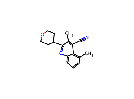 Cc1c(C2CCOCC2)nc2cccc(C)c2c1C#N